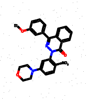 CCOc1cccc(-c2nn(-c3cc(N4CCOCC4)ccc3[N+](=O)[O-])c(=O)c3ccccc23)c1